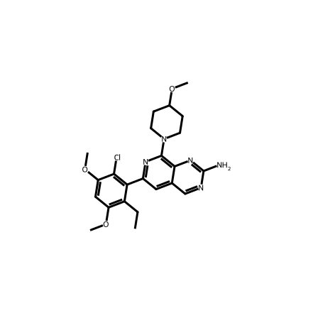 CCc1c(OC)cc(OC)c(Cl)c1-c1cc2cnc(N)nc2c(N2CCC(OC)CC2)n1